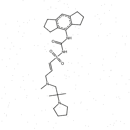 CN(C/C=C/S(=O)(=O)NC(=O)Nc1c2c(cc3c1CCC3)CCC2)CC(C)(C)N1CCCC1